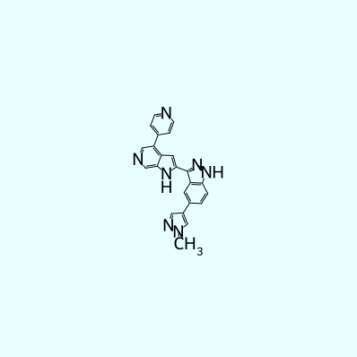 Cn1cc(-c2ccc3[nH]nc(-c4cc5c(-c6ccncc6)cncc5[nH]4)c3c2)cn1